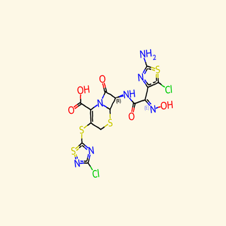 Nc1nc(/C(=N\O)C(=O)N[C@@H]2C(=O)N3C(C(=O)O)=C(Sc4nc(Cl)ns4)CSC23)c(Cl)s1